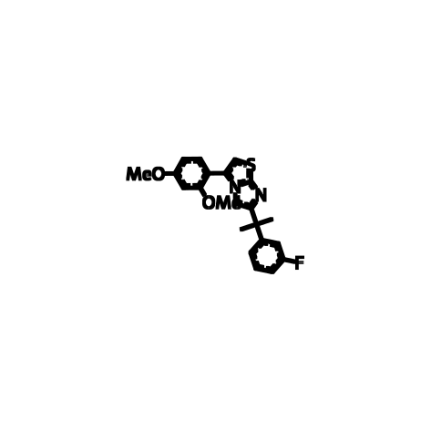 COc1ccc(-c2csc3nc(C(C)(C)c4cccc(F)c4)cn23)c(OC)c1